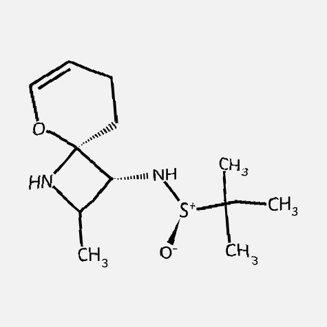 CC1N[C@]2(CCC=CO2)[C@@H]1N[S@+]([O-])C(C)(C)C